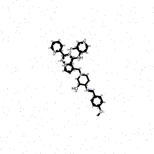 COc1ccc(/C=N/C2CCN(Cc3ccn4nc(-c5ccccn5)nc(Nc5ccncc5F)c34)CC2O)cc1